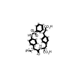 CC(C)C[C@@H](C(=O)N[C@@H](Cc1ccc(CCC(=O)O)cc1)C(=O)O)c1ccc(NS(=O)(=O)c2ccccc2)cc1